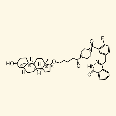 C[C@]12CC[C@H](O)C[C@@H]1CC[C@@H]1[C@@H]2CC[C@]2(C)[C@@H](OCCCCC(=O)N3CCN(C(=O)c4cc(Cc5n[nH]c(=O)c6ccccc56)ccc4F)CC3)CC[C@@H]12